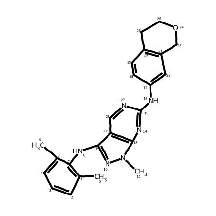 Cc1cccc(C)c1Nc1nn(C)c2nc(Nc3ccc4c(c3)COCC4)ncc12